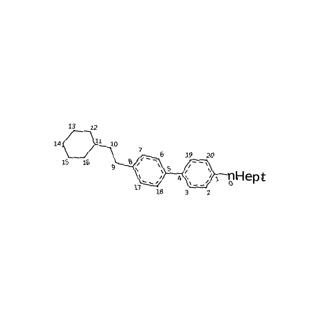 CCCCCCCc1ccc(-c2ccc(CCC3CC[CH]CC3)cc2)cc1